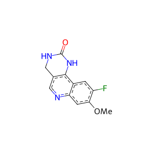 COc1cc2ncc3c(c2cc1F)NC(=O)NC3